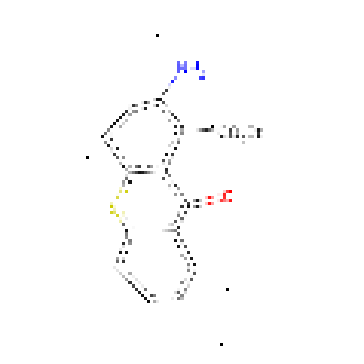 CCOC(=O)c1c(N)ccc2sc3ccccc3c(=O)c12